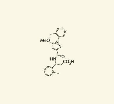 COc1cc(C(=O)NC(CC(=O)O)c2ccccc2C)nn1-c1ccccc1F